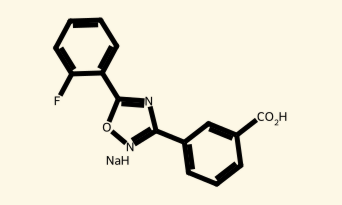 O=C(O)c1cccc(-c2noc(-c3ccccc3F)n2)c1.[NaH]